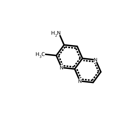 Cc1nc2nccnc2cc1N